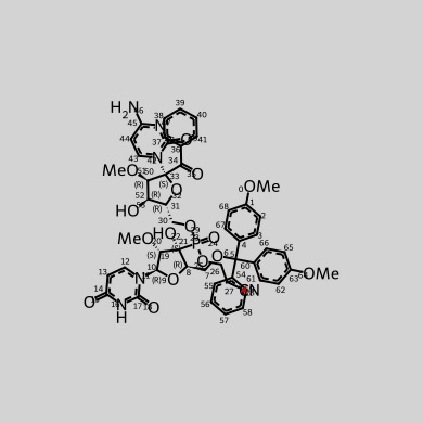 COc1ccc(C(OC[C@H]2O[C@@H](n3ccc(=O)[nH]c3=O)[C@H](OC)[C@@]2(O)P(=O)(OCCC#N)OC[C@H]2O[C@@](C(=O)c3ccccc3)(n3ccc(N)nc3=O)[C@H](OC)[C@@H]2O)(c2ccccc2)c2ccc(OC)cc2)cc1